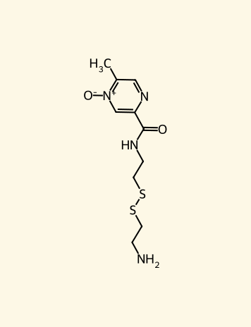 Cc1cnc(C(=O)NCCSSCCN)c[n+]1[O-]